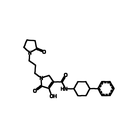 O=C(NC1CCC(c2ccccc2)CC1)C1=C(O)C(=O)N(CCCN2CCCC2=O)C1